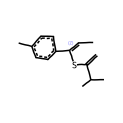 C=C(S/C(=C\C)c1ccc(C)cc1)C(C)C